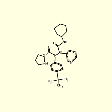 CC(C)(C)c1ccc(N(C(=O)[C@H]2CCCN2)[C@@H](C(=O)NC2CCCCC2)c2cccnc2)cc1